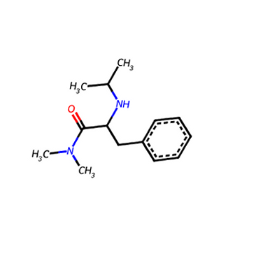 CC(C)NC(Cc1ccccc1)C(=O)N(C)C